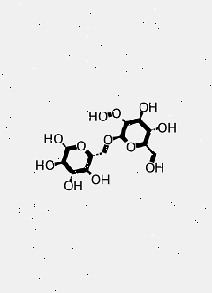 OC[C@H]1O[C@@H](OC[C@H]2O[C@@H](O)[C@H](O)[C@@H](O)[C@@H]2O)[C@H](OO)[C@@H](O)[C@@H]1O